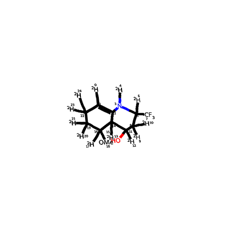 [2H]C1=C2N([2H])C([2H])(C(F)(F)F)C([2H])([2H])C([2H])(O)C2([2H])C([2H])(OC)C([2H])([2H])C1([2H])[2H]